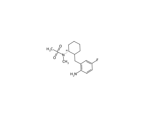 CN([C@@H]1CCCCC1Cc1cc(F)ccc1N)S(C)(=O)=O